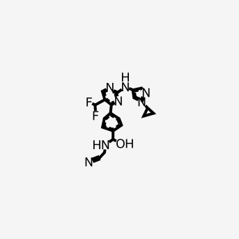 N#CCNC(O)c1ccc(-c2nc(Nc3cnn(C4CC4)c3)ncc2C(F)F)cc1